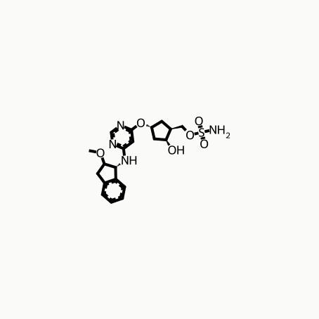 COC1Cc2ccccc2[C@H]1Nc1cc(O[C@@H]2C[C@@H](COS(N)(=O)=O)[C@@H](O)C2)ncn1